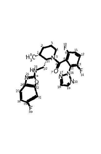 C[C@@H]1CCCN(C(=O)c2c(F)ccc(F)c2-n2nccn2)[C@@H]1CNc1nc2ccc(F)cc2o1